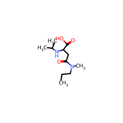 CCCN(C)C(=O)CC(NC(C)C)C(=O)O